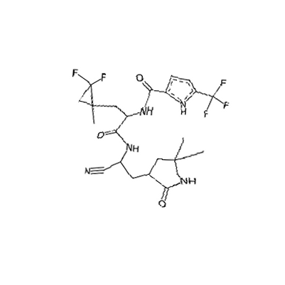 CC1(C)CC(CC(C#N)NC(=O)C(CC2(C)CC2(F)F)NC(=O)c2ccc(C(F)(F)F)[nH]2)C(=O)N1